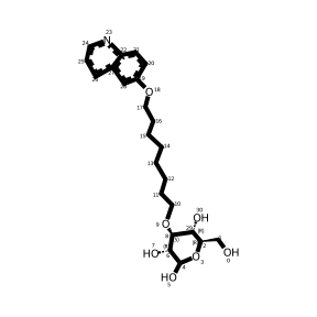 OC[C@H]1OC(O)[C@H](O)[C@@H](OCCCCCCCCOc2ccc3ncccc3c2)[C@@H]1O